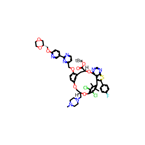 Cc1c(Cl)c2c(Cl)c(C)c1-c1c(-c3ccc(F)cc3)sc3ncnc(c13)O[C@@H](C(=O)OC(C)(C)C)Cc1cc(ccc1OCc1ccnc(-c3ccc(OC[C@H]4COCCO4)nc3)n1)OC[C@@H](CN1CCN(C)CC1)O2